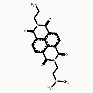 CN(C)CCN1C(=O)c2ccc3c4c(ccc(c24)C1=O)C(=O)N(CCN)C3=O